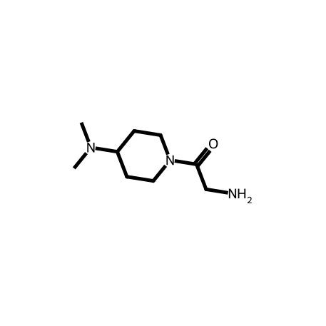 CN(C)C1CCN(C(=O)CN)CC1